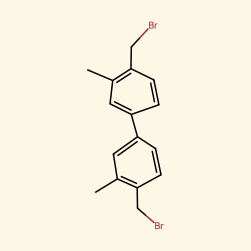 Cc1cc(-c2ccc(CBr)c(C)c2)ccc1CBr